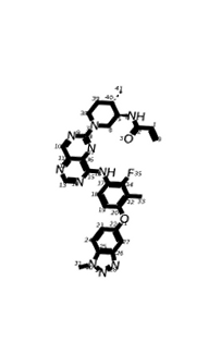 C=CC(=O)N[C@H]1CN(c2ncc3ncnc(Nc4ccc(Oc5ccc6c(c5)nnn6C)c(C)c4F)c3n2)CC[C@@H]1C